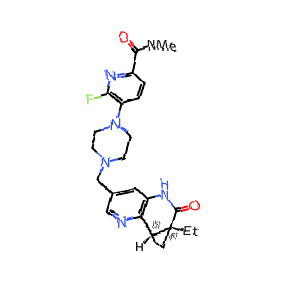 CC[C@@]12C[C@@H]1c1ncc(CN3CCN(c4ccc(C(=O)NC)nc4F)CC3)cc1NC2=O